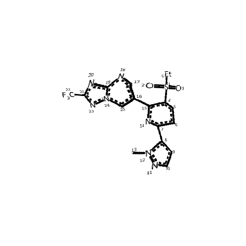 CCS(=O)(=O)c1ccc(-c2ccnn2C)nc1-c1cnc2nc(C(F)(F)F)nn2c1